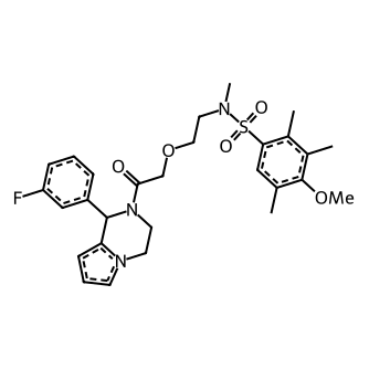 COc1c(C)cc(S(=O)(=O)N(C)CCOCC(=O)N2CCn3cccc3C2c2cccc(F)c2)c(C)c1C